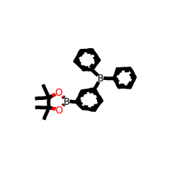 CC1(C)OB(c2cccc(B(c3ccccc3)c3ccccc3)c2)OC1(C)C